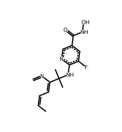 C=N/C(=C\C=C/C)C(C)(C)Nc1ncc(C(=O)NO)cc1F